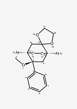 CO[C@]1(c2ccccc2)C[C@H]2CC[C@@H]1CC21OCCO1